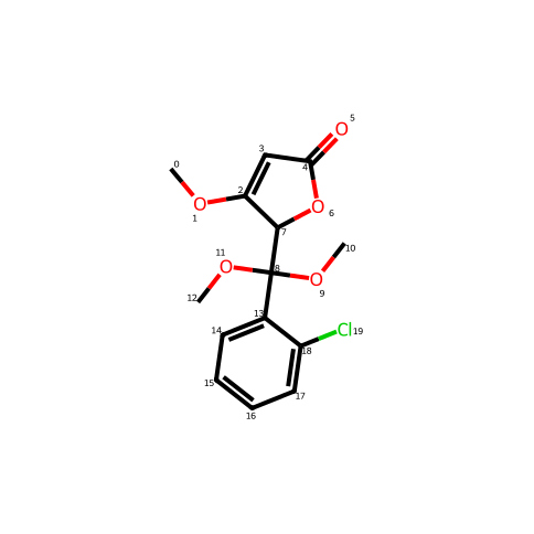 COC1=CC(=O)OC1C(OC)(OC)c1ccccc1Cl